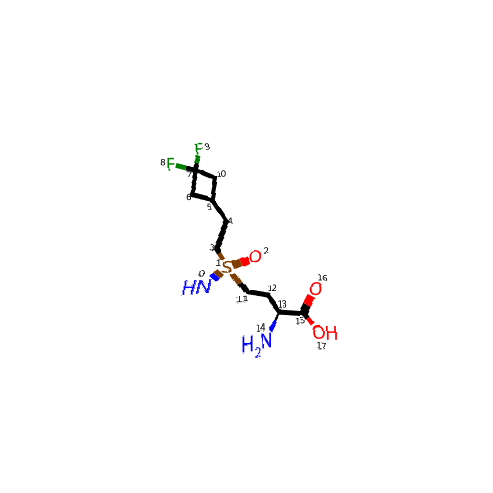 N=S(=O)(CCC1CC(F)(F)C1)CC[C@H](N)C(=O)O